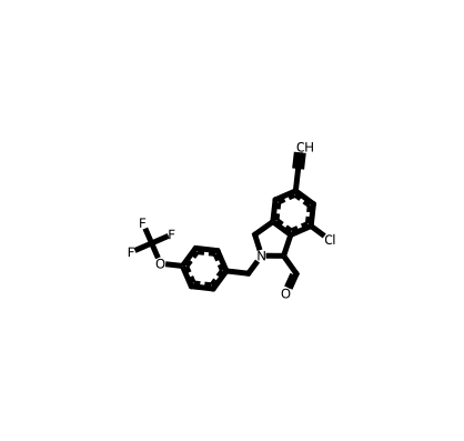 C#Cc1cc(Cl)c2c(c1)CN(Cc1ccc(OC(F)(F)F)cc1)C2C=O